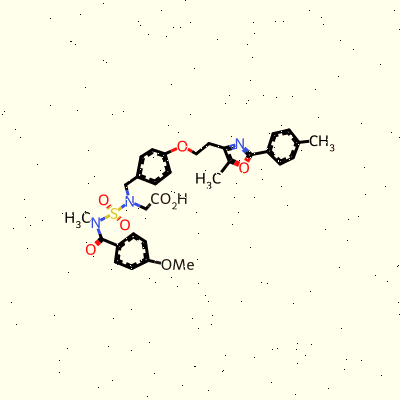 COc1ccc(C(=O)N(C)S(=O)(=O)N(CC(=O)O)Cc2ccc(OCCc3nc(-c4ccc(C)cc4)oc3C)cc2)cc1